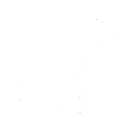 C(=Cc1ccccc1)C(C=Cc1ccccc1)=CC1=CO1